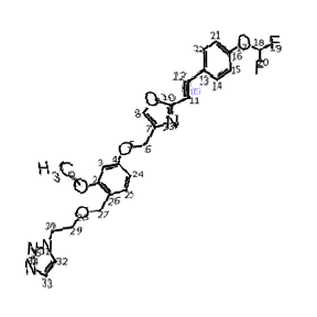 COc1cc(OCc2coc(/C=C/c3ccc(OC(F)F)cc3)n2)ccc1COCCn1ccnn1